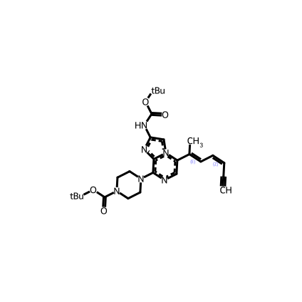 C#C/C=C\C=C(/C)c1cnc(N2CCN(C(=O)OC(C)(C)C)CC2)c2nc(NC(=O)OC(C)(C)C)cn12